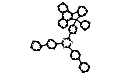 c1ccc(-c2ccc(-c3nc(-c4ccc(-c5ccccc5)cc4)nc(-c4ccc(C5(c6ccccc6)c6ccccc6-c6c5c5ccccc5c5ccccc65)cc4)n3)cc2)cc1